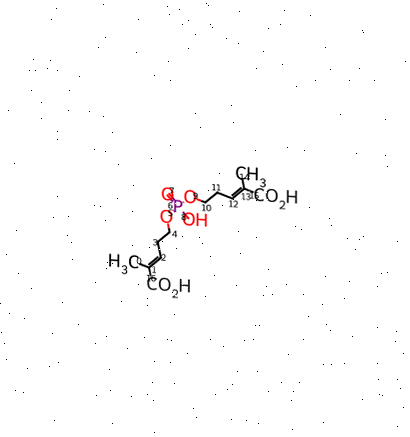 CC(=CCCOP(=O)(O)OCCC=C(C)C(=O)O)C(=O)O